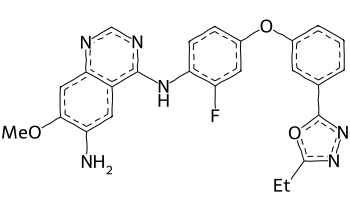 CCc1nnc(-c2cccc(Oc3ccc(Nc4ncnc5cc(OC)c(N)cc45)c(F)c3)c2)o1